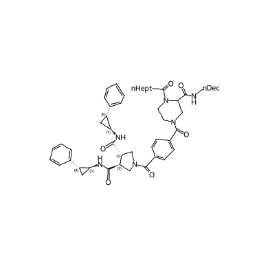 CCCCCCCCCCNC(=O)C1CN(C(=O)c2ccc(C(=O)N3C[C@@H](C(=O)N[C@H]4C[C@@H]4c4ccccc4)[C@H](C(=O)N[C@H]4C[C@@H]4c4ccccc4)C3)cc2)CCN1C(=O)CCCCCCC